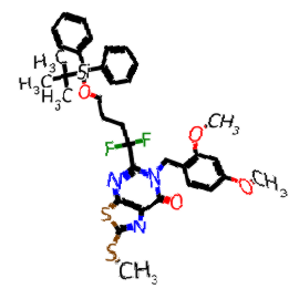 COc1ccc(Cn2c(C(F)(F)CCCO[Si](c3ccccc3)(c3ccccc3)C(C)(C)C)nc3sc(SC)nc3c2=O)c(OC)c1